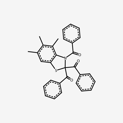 Cc1cc2c(c(C)c1C)N(C(=O)c1ccccc1)C(C(=O)c1ccccc1)(C(=O)c1ccccc1)S2